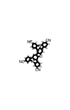 N#Cc1ccc2c3cc4c(oc5cc6c7ccc(C#N)cc7n7c8cc(C#N)ccc8c(c54)c67)c4c5ccc(C#N)cc5n(c2c1)c34